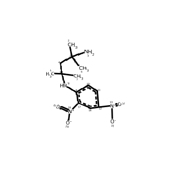 CC(C)(N)CC(C)(C)Nc1ccc([N+](=O)[O-])cc1[N+](=O)[O-]